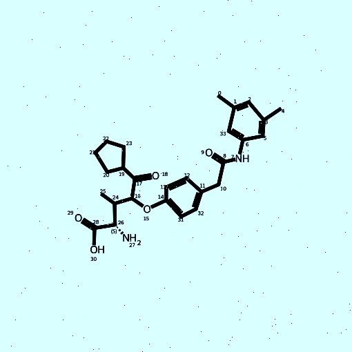 Cc1cc(C)cc(NC(=O)Cc2ccc(OC(C(=O)C3CCCC3)C(C)[C@H](N)C(=O)O)cc2)c1